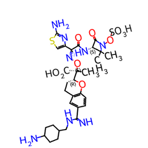 CC1(C)[C@H](NC(=O)/C(=N\O[C@](C)(C(=O)O)[C@H]2CCc3cc(C(=N)NCC4CCC(N)CC4)ccc3O2)c2csc(N)n2)C(=O)N1OS(=O)(=O)O